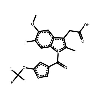 COc1cc2c(CC(=O)O)c(C)n(C(=O)c3csc(OC(F)(F)F)c3)c2cc1F